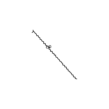 CCCCCCCCCCCCCCCCCCCCCCCCCCCCCCCCC(=O)OCCCCCCCCCCCCCCCC(C)C